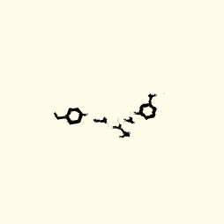 CCc1ccc(OCC(=O)NC(NC(=S)Nc2cccc(C(=O)O)c2)C(Cl)(Cl)Cl)cc1